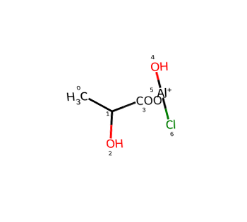 CC(O)C(=O)[O-].[OH][Al+][Cl]